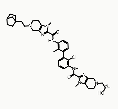 Cc1c(NC(=O)c2nc3c(n2C)CCN(CCC24CCC(CC2)C4)C3)cccc1-c1cccc(NC(=O)c2nc3c(n2C)CCN(C[C@H](C)O)C3)c1Cl